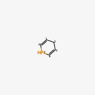 [C]1=CCC=CP1